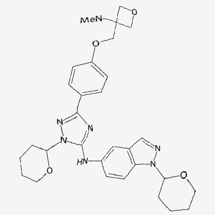 CNC1(COc2ccc(-c3nc(Nc4ccc5c(cnn5C5CCCCO5)c4)n(C4CCCCO4)n3)cc2)COC1